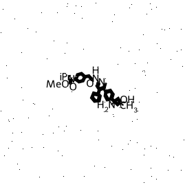 COC(=O)N(C(C)C)C1CCC(CC(=O)Nc2cc(-c3ccccc3)c(-c3ccc([C@]4(N)C[C@](C)(O)C4)cc3)cn2)CC1